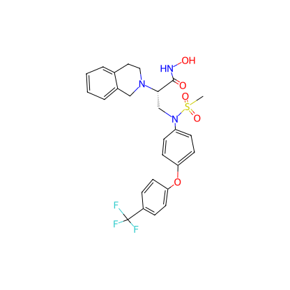 CS(=O)(=O)N(C[C@@H](C(=O)NO)N1CCc2ccccc2C1)c1ccc(Oc2ccc(C(F)(F)F)cc2)cc1